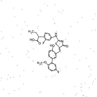 CCC(C(=O)O)c1ccc(NC2=NC(=O)C(=Cc3cc(-c4cc(F)ccc4OC)ccc3O)S2)cc1F